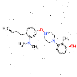 C=CCCc1ccc(ON2CCN(c3cccc(O)c3C)CC2)cc1N(C)C